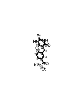 CCN(CC)C(=O)c1ccc2c(c1)Cc1c([nH]c(=S)[nH]c1=O)O2